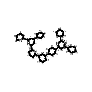 c1ccc(-c2cc(-c3ccccn3)nc(-c3cccc(-c4cccc(-c5ccc(-c6cc(-c7ccccc7)nc(-c7ccccc7)n6)cc5)c4)n3)c2)cc1